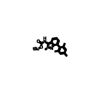 Cc1cc(C)c(-c2cccc3c(NC(=O)OC(C)(C)C)n(C)nc23)c(C)c1